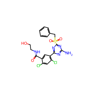 Nc1nc(-c2cc(C(=O)NCCO)c(Cl)cc2Cl)nc(S(=O)(=O)Cc2ccccc2)n1